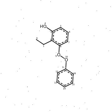 CCc1c(O)cccc1OOc1ccccc1